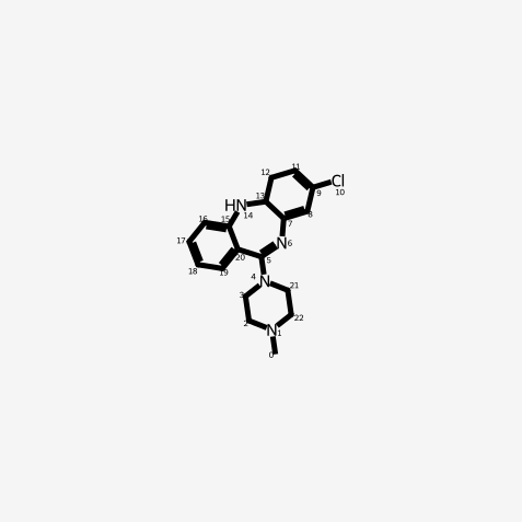 CN1CCN(C2=NC3=CC(Cl)=CCC3Nc3ccccc32)CC1